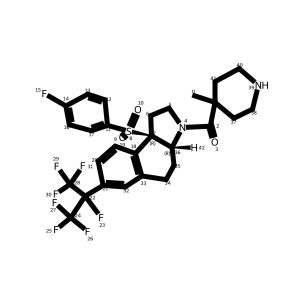 CC1(C(=O)N2CC[C@@]3(S(=O)(=O)c4ccc(F)cc4)c4ccc(C(F)(C(F)(F)F)C(F)(F)F)cc4CC[C@@H]23)CCNCC1